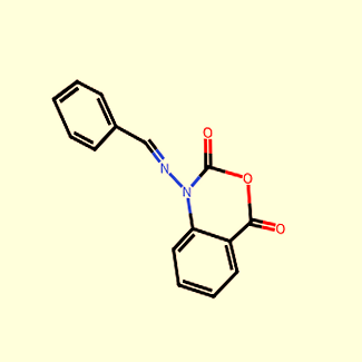 O=c1oc(=O)n(/N=C/c2ccccc2)c2ccccc12